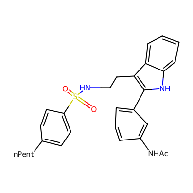 CCCCCc1ccc(S(=O)(=O)NCCc2c(-c3cccc(NC(C)=O)c3)[nH]c3ccccc23)cc1